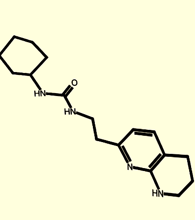 O=C(NCCc1ccc2c(n1)NCCC2)NC1CCCCC1